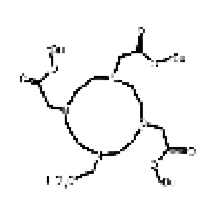 CCCCOC(=O)CN1CCN(CC(=O)O)CCN(CC(=O)OC(C)(C)C)CCN(CC(=O)OC(C)(C)C)CC1